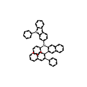 c1ccc(-c2cc3ccccc3cc2-c2cc3ccccc3cc2N(c2ccccc2)c2ccc3c4ccccc4n(-c4ccccc4)c3c2)cc1